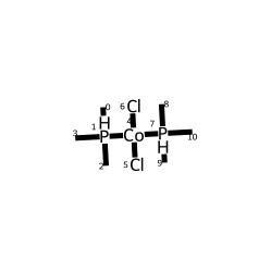 C[PH](C)(C)[Co]([Cl])([Cl])[PH](C)(C)C